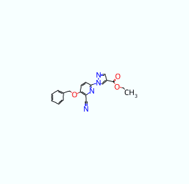 CCOC(=O)c1cnn(-c2ccc(OCc3ccccc3)c(C#N)n2)c1